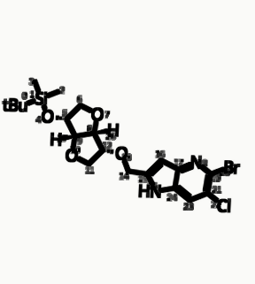 CC(C)(C)[Si](C)(C)O[C@@H]1CO[C@H]2[C@@H]1OC[C@H]2OCc1cc2nc(Br)c(Cl)cc2[nH]1